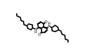 CCCCCCC1CCC(NC2=C3C(=O)C=CC(NC4CCC(CCCCCC)CC4)=C3C(=O)C=C2)CC1